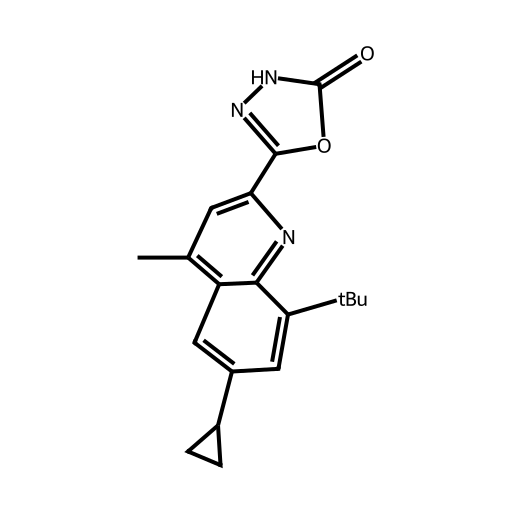 Cc1cc(-c2n[nH]c(=O)o2)nc2c(C(C)(C)C)cc(C3CC3)cc12